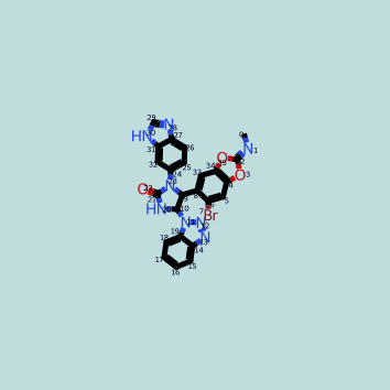 CN=c1oc2cc(Br)c(C3C(n4nnc5ccccc54)NC(=O)N3c3ccc4nc[nH]c4c3)cc2o1